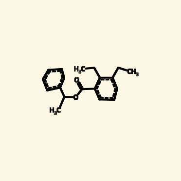 CCc1cccc(C(=O)OC(C)c2ccccc2)c1CC